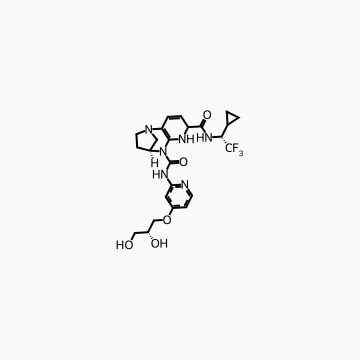 O=C(N[C@H](C1CC1)C(F)(F)F)C1C=CC2=C(N1)N(C(=O)Nc1cc(OC[C@H](O)CO)ccn1)[C@H]1CCN2C1